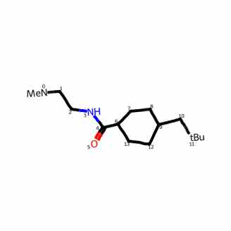 CNCCNC(=O)C1CCC(CC(C)(C)C)CC1